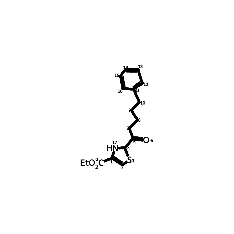 CCOC(=O)C1=CSC(C(=O)CCCCc2ccccc2)N1